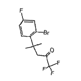 CC(C)(CC(=O)C(F)(F)F)c1ccc(F)cc1Br